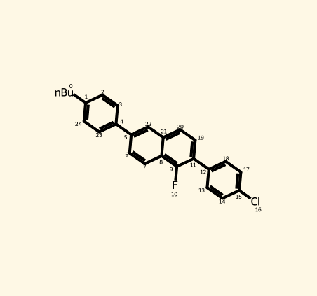 CCCCc1ccc(-c2ccc3c(F)c(-c4ccc(Cl)cc4)ccc3c2)cc1